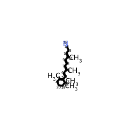 CC1=C(/C=C/C(C)=C/C=C/C(C)=C/CC#N)C(C)(C)CCC1